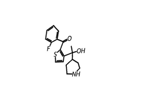 CC(O)(c1ccsc1C(=O)c1ccccc1F)C1CCNCC1